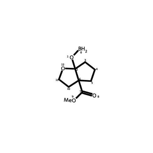 BOC12CCCC1(C(=O)OC)CCO2